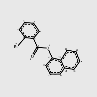 CCc1ccccc1C(=O)Oc1cccc2ccccc12